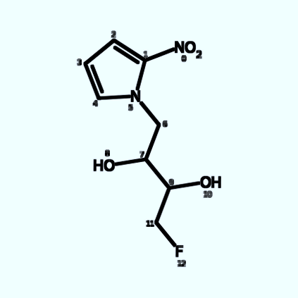 O=[N+]([O-])c1cccn1CC(O)C(O)CF